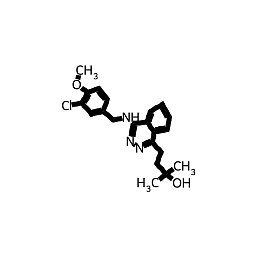 COc1ccc(CNc2nnc(CCC(C)(C)O)c3ccccc23)cc1Cl